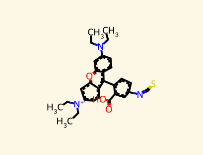 CCN(CC)c1ccc2c(-c3ccc(N=C=S)cc3C(=O)O)c3ccc(=[N+](CC)CC)cc-3oc2c1